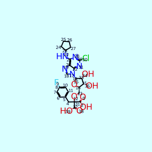 O=C(O)C(Cc1ccc(F)cc1)(OC[C@H]1O[C@@H](n2cnc3c(NC4CCCC4)nc(Cl)nc32)[C@H](O)[C@@H]1O)C(=O)O